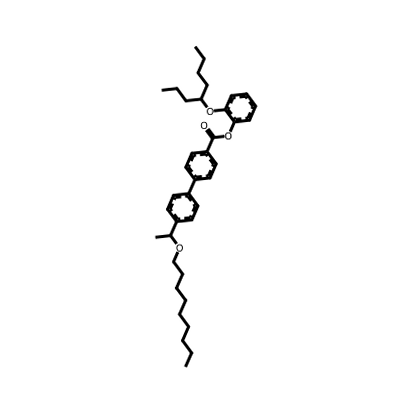 CCCCCCCCCOC(C)c1ccc(-c2ccc(C(=O)Oc3ccccc3OC(CCC)CCCC)cc2)cc1